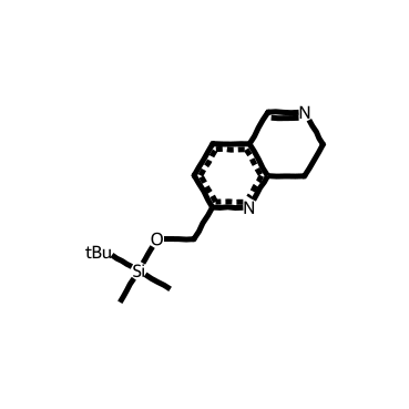 CC(C)(C)[Si](C)(C)OCc1ccc2c(n1)CCN=C2